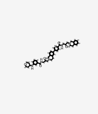 O=C(NCC(O)CN1CCc2cc(-c3ccc(C(=O)NCC(O)CN4CCc5ccccc5C4)nc3)ccc2C1)c1cccc(NC2CCOCC2)c1